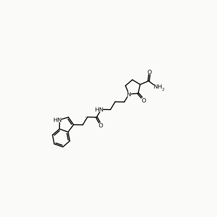 NC(=O)C1CCN(CCCNC(=O)[CH]Cc2c[nH]c3ccccc23)C1=O